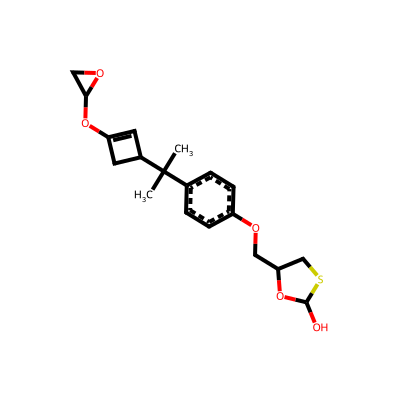 CC(C)(c1ccc(OCC2CSC(O)O2)cc1)C1C=C(OC2CO2)C1